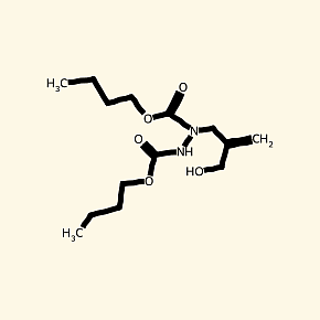 C=C(CO)CN(NC(=O)OCCCC)C(=O)OCCCC